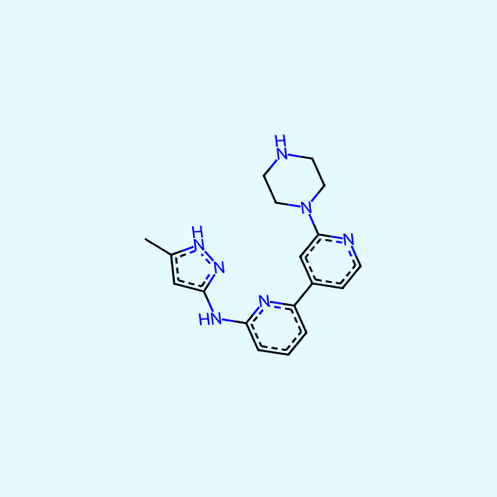 Cc1cc(Nc2cccc(-c3ccnc(N4CCNCC4)c3)n2)n[nH]1